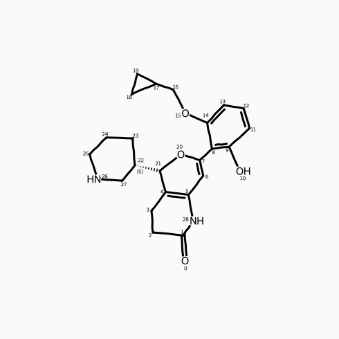 O=C1CCC2=C(C=C(c3c(O)cccc3OCC3CC3)OC2[C@H]2CCCNC2)N1